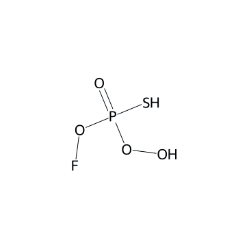 O=P(S)(OO)OF